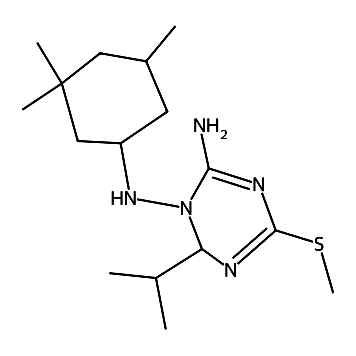 CSC1=NC(C(C)C)N(NC2CC(C)CC(C)(C)C2)C(N)=N1